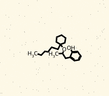 CCCCCCC1(OC(C)Cc2ccccc2O)CCCCC1